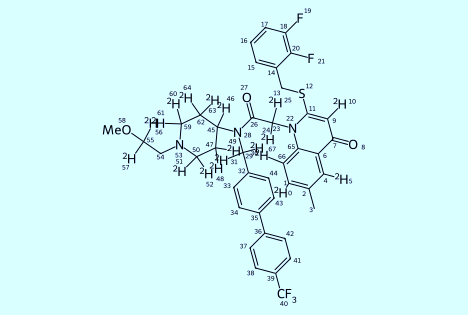 [2H]c1c(C)c([2H])c2c(=O)c([2H])c(SCc3cccc(F)c3F)n(C([2H])([2H])C(=O)N(C([2H])([2H])c3ccc(-c4ccc(C(F)(F)F)cc4)cc3)C3([2H])C([2H])([2H])C([2H])([2H])N(CC([2H])([2H])OC)C([2H])([2H])C3([2H])[2H])c2c1[2H]